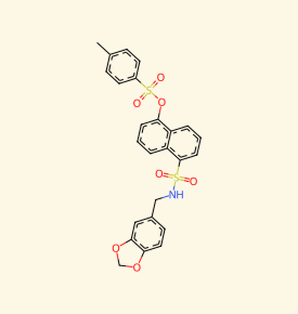 Cc1ccc(S(=O)(=O)Oc2cccc3c(S(=O)(=O)NCc4ccc5c(c4)OCO5)cccc23)cc1